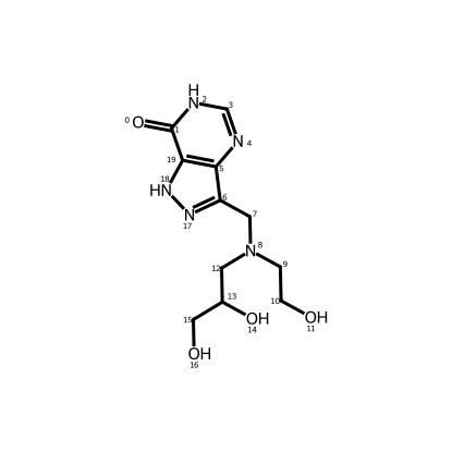 O=c1[nH]cnc2c(CN(CCO)CC(O)CO)n[nH]c12